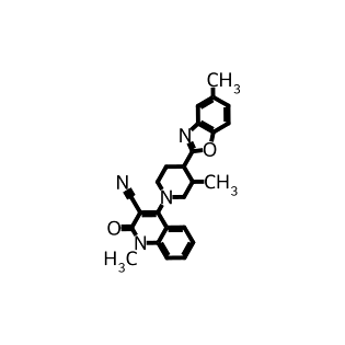 Cc1ccc2oc(C3CCN(c4c(C#N)c(=O)n(C)c5ccccc45)CC3C)nc2c1